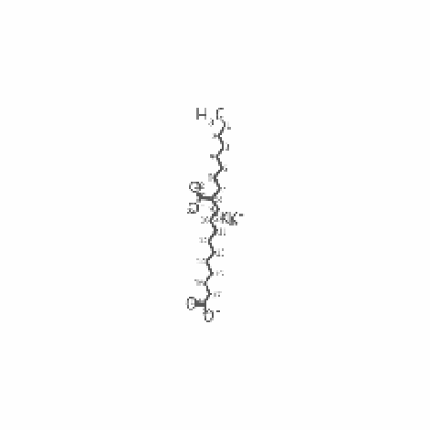 CCCCCCCCC(CCCCCCCCCC(=O)[O-])C(=O)[O-].[K+].[K+]